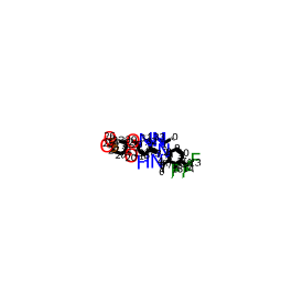 Cc1nc(N[C@H](C)c2cccc(C(F)F)c2F)c2cc(OC3CCS(=O)(=O)CC3)c(=O)[nH]c2n1